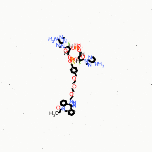 B[P@]1(=O)OC[C@H]2O[C@@H](n3cnc4c(N)ccnc43)[C@H](F)[C@@H]2O[P@@](=O)(SCc2ccc(COCCOCCOCCn3nnc4c3-c3ccccc3N(C(=O)CC)Cc3ccccc3-4)cc2)OC[C@H]2O[C@@H](n3cnc4c(N)ncnc43)[C@H](F)[C@@H]2O1